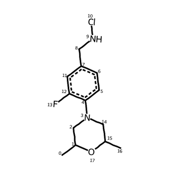 CC1CN(c2ccc(CNCl)cc2F)CC(C)O1